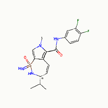 CC(C)[C@H]1C=Cc2c(cn(C)c2C(=O)Nc2ccc(F)c(F)c2)S(=N)(=O)N1